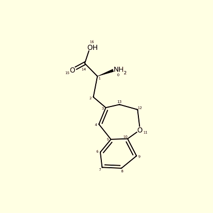 N[C@@H](CC1=Cc2ccccc2OCC1)C(=O)O